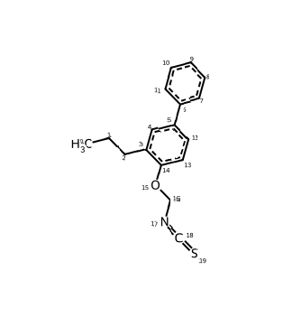 CCCc1cc(-c2ccccc2)ccc1OCN=C=S